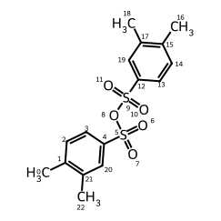 Cc1ccc(S(=O)(=O)OS(=O)(=O)c2ccc(C)c(C)c2)cc1C